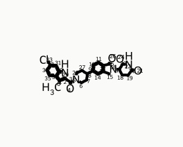 Cc1c(C(=O)N2CCC(c3ccc4c(c3)CN(C3CCC(=O)NC3=O)C4=O)CC2)[nH]c2cc(Cl)ccc12